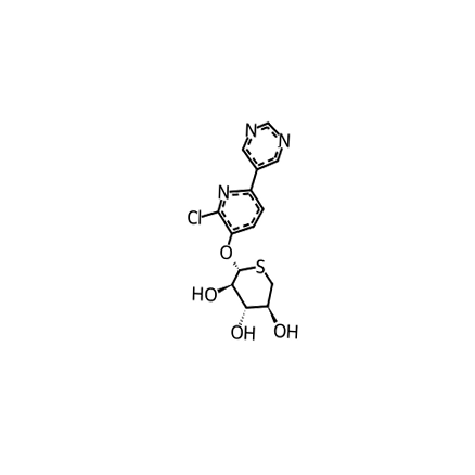 O[C@@H]1[C@@H](O)[C@H](Oc2ccc(-c3cncnc3)nc2Cl)SC[C@H]1O